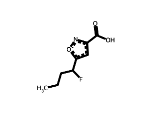 CCCC(F)c1cc(C(=O)O)no1